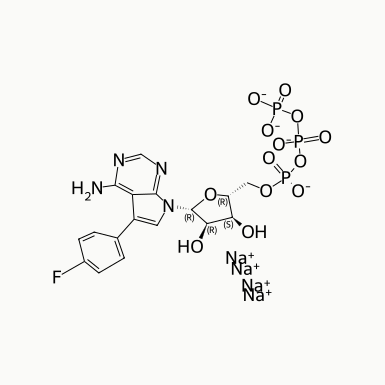 Nc1ncnc2c1c(-c1ccc(F)cc1)cn2[C@@H]1O[C@H](COP(=O)([O-])OP(=O)([O-])OP(=O)([O-])[O-])[C@@H](O)[C@H]1O.[Na+].[Na+].[Na+].[Na+]